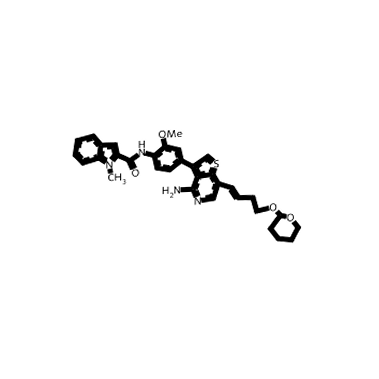 COc1cc(-c2csc3c(C=CCCOC4CCCCO4)cnc(N)c23)ccc1NC(=O)c1cc2ccccc2n1C